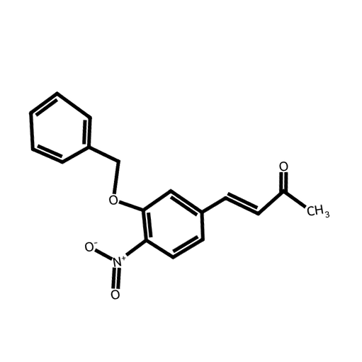 CC(=O)C=Cc1ccc([N+](=O)[O-])c(OCc2ccccc2)c1